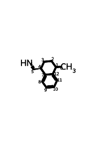 CC1CC[C@H](C=N)c2ccccc21